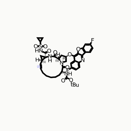 CC(C)(C)OC(=O)N[C@H]1CCCCC/C=C\[C@@H]2C[C@@]2(C(=O)NS(=O)(=O)C2CC2)NC(=O)[C@@H]2C[C@@H](Oc3c4cc(F)ccc4nc4c3oc3cc(F)ccc34)CN2C1=O